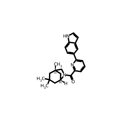 CC1(C)C[C@@H]2C[C@@](C)(CN2C(=O)c2cccc(-c3ccc4[nH]ccc4c3)n2)C1